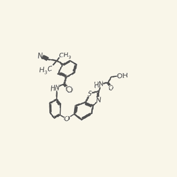 CC(C)(C#N)c1cccc(C(=O)Nc2cccc(Oc3ccc4nc(NC(=O)CO)sc4c3)c2)c1